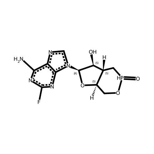 Nc1nc(F)nc2c1ncn2[C@@H]1O[C@@H]2CO[PH](=O)C[C@H]2[C@@H]1O